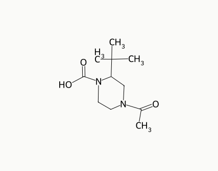 CC(=O)N1CCN(C(=O)O)C(C(C)(C)C)C1